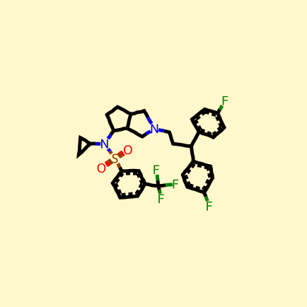 O=S(=O)(c1cccc(C(F)(F)F)c1)N(C1CC1)C1CCC2CN(CCC(c3ccc(F)cc3)c3ccc(F)cc3)CC21